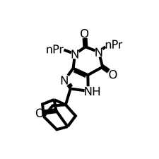 CCCn1c(=O)c2[nH]c(C34CC5CC(C3)C(=O)C4C5)nc2n(CCC)c1=O